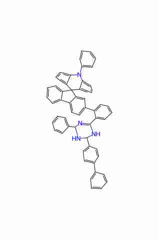 c1ccc(-c2ccc(C3NC(c4ccccc4-c4ccc5c(c4)C4(c6ccccc6-5)c5ccccc5N(c5ccccc5)c5ccccc54)=NC(c4ccccc4)N3)cc2)cc1